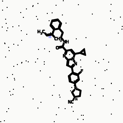 C/C=C(/C)c1ccccc1CCNC(=O)c1cc(C2CC2)n2nc(-c3ccc(N4CC[C@@H](C#N)C4)cc3F)cc2n1